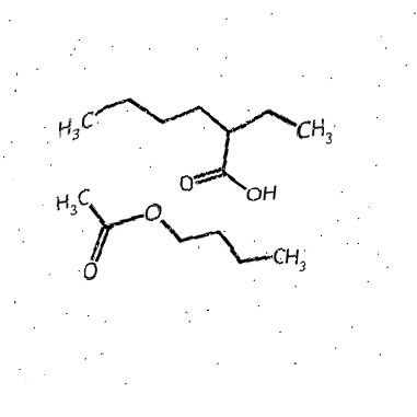 CCCCC(CC)C(=O)O.CCCCOC(C)=O